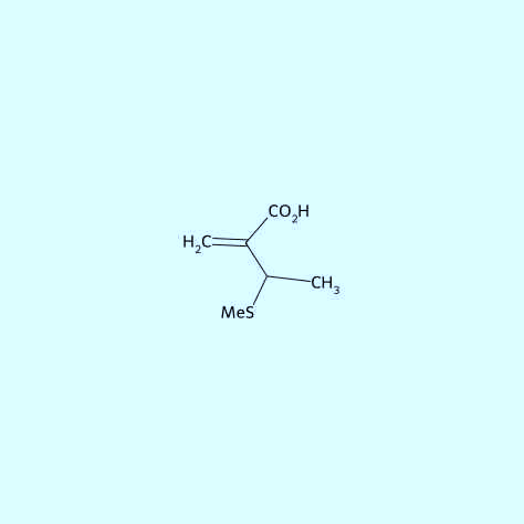 C=C(C(=O)O)C(C)SC